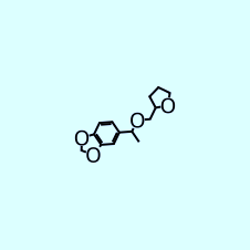 CC(OCC1CCCO1)c1ccc2c(c1)OCO2